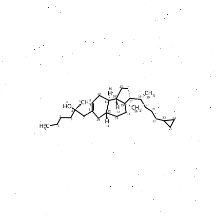 CCCC[C@](C)(O)CC1=CC[C@@H]2[C@H](CC[C@]3(C)[C@@H]([C@H](C)CCCC4CC4)CC[C@@H]23)C1